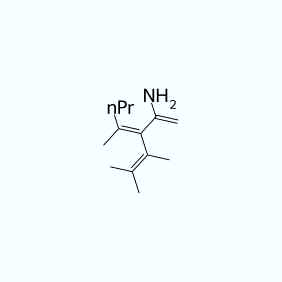 C=C(N)/C(C(C)=C(C)C)=C(/C)CCC